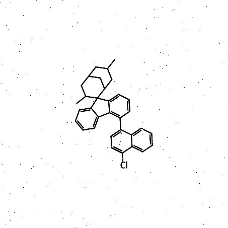 CC1CC2CC(C)C3(c4ccccc4-c4c(-c5ccc(Cl)c6ccccc56)cccc43)C(C1)C2